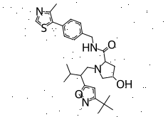 Cc1ncsc1-c1ccc(CNC(=O)C2CC(O)CN2CC(c2cc(C(C)(C)C)no2)C(C)C)cc1